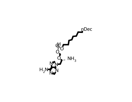 CCCCCCCCCCCCCCCCCCO[PH](=O)OCO[C@H](C)Cn1cnc2c(N)ncnc21.N